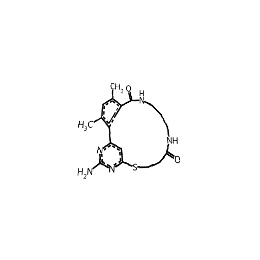 Cc1cc(C)c2cc1C(=O)NCCCNC(=O)CCSc1cc-2nc(N)n1